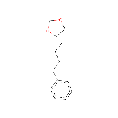 C1COCO1.CCCCc1ccccc1